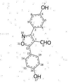 O=Cc1c(-c2ccc(O)cc2)noc1-c1ccc(O)cc1